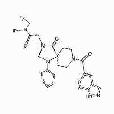 CC(C)N(CC(F)(F)F)C(=O)CN1CN(c2ccccc2)C2(CCN(C(=O)c3cnc4[nH]ncc4c3)CC2)C1=O